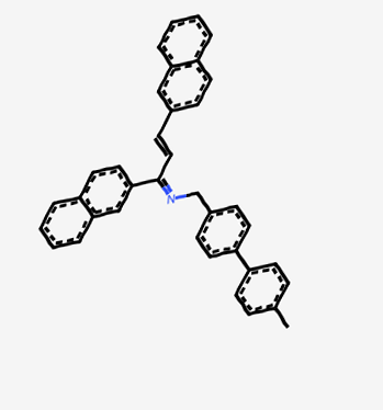 Cc1ccc(-c2ccc(C/N=C(\C=C\c3ccc4ccccc4c3)c3ccc4ccccc4c3)cc2)cc1